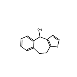 OC1c2ccccc2CCc2sccc21